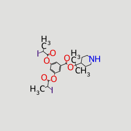 CC(I)C(=O)Oc1cc(OC(=O)C(C)I)cc(C(=O)OC(C)(C)C2CCNCC2)c1